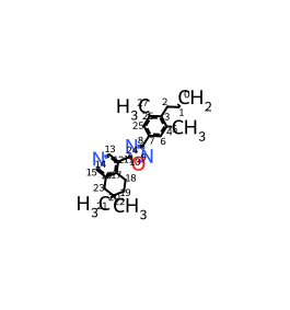 C=CCc1c(C)cc(-c2noc(-c3cncc4c3CCC(C)(C)C4)n2)cc1C